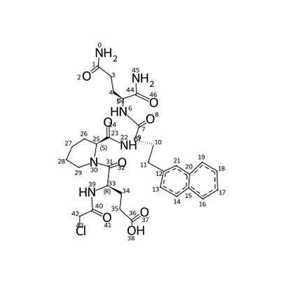 NC(=O)CC[C@H](NC(=O)[C@H](CCc1ccc2ccccc2c1)NC(=O)[C@@H]1CCCCN1C(=O)[C@@H](CCC(=O)O)NC(=O)CCl)C(N)=O